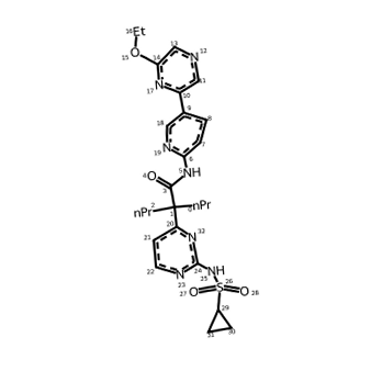 CCCC(CCC)(C(=O)Nc1ccc(-c2cncc(OCC)n2)cn1)c1ccnc(NS(=O)(=O)C2CC2)n1